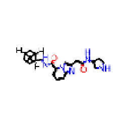 CC1(C)[C@@H]2CC[C@@H](CNC(=O)c3cccc4nc(CC(=O)NC5CCNC5)cn34)[C@H]1C2